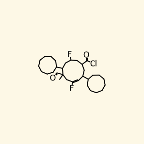 CC1(C=O)C/C(F)=C\C(C2CCCCCCCC2)CC(C(=O)Cl)CC(F)CC1C1CCCCCCCC1